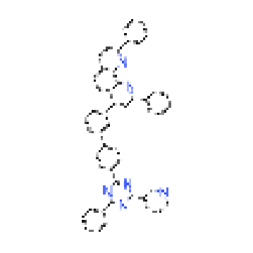 c1ccc(-c2ccc3ccc4c(-c5cccc(-c6ccc(-c7nc(-c8ccccc8)nc(-c8cccnc8)n7)cc6)c5)cc(-c5ccccc5)nc4c3n2)cc1